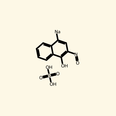 O=Nc1c[c]([Na])c2ccccc2c1O.O=S(=O)(O)O